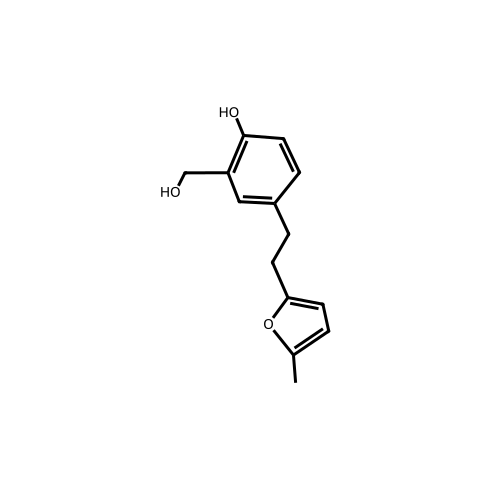 Cc1ccc(CCc2ccc(O)c(CO)c2)o1